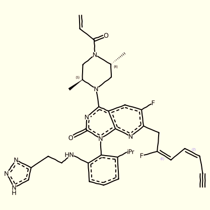 C#C/C=C\C=C(\F)Cc1nc2c(cc1F)c(N1C[C@@H](C)N(C(=O)C=C)C[C@@H]1C)nc(=O)n2-c1c(NCCc2c[nH]nn2)cccc1C(C)C